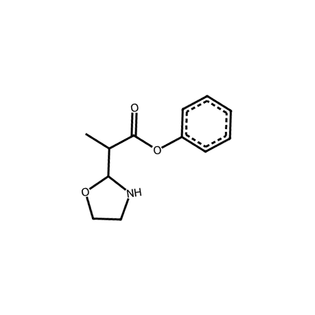 CC(C(=O)Oc1ccccc1)C1NCCO1